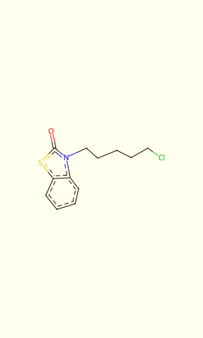 O=c1sc2ccccc2n1CCCCCCl